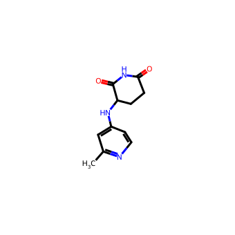 Cc1cc(NC2CCC(=O)NC2=O)ccn1